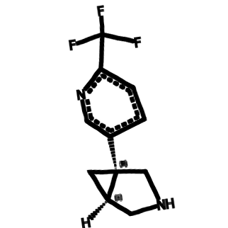 FC(F)(F)c1ccc([C@]23CNC[C@H]2C3)cn1